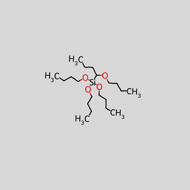 CCCCOC(CCC)[Si](OCCCC)(OCCCC)OCCCC